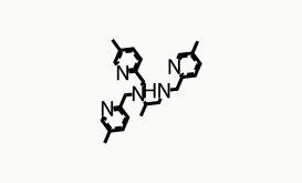 Cc1ccc(CNCC(C)N(Cc2ccc(C)cn2)Cc2ccc(C)cn2)nc1